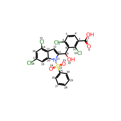 O=C(O)c1ccc(Cl)c(C(O)c2cc3c(Cl)cc(Cl)cc3n2S(=O)(=O)c2ccccc2)c1Cl